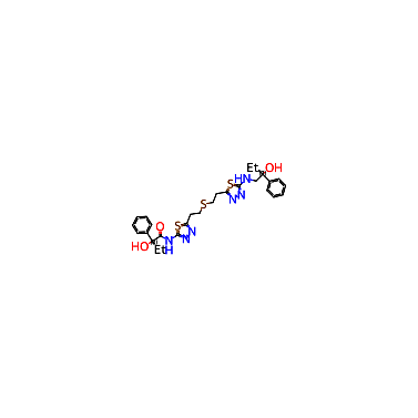 CC[C@](O)(CNc1nnc(CCSCCc2nnc(NC(=O)[C@@](O)(CC)c3ccccc3)s2)s1)c1ccccc1